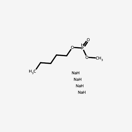 CCCCCO[PH](=O)OC.[NaH].[NaH].[NaH].[NaH]